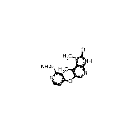 CC(=O)Nc1cc(Oc2cnc3[nH]c(=O)n(C)c3c2C)ccn1